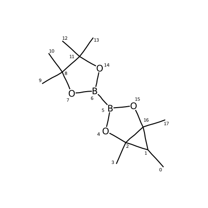 CC1C2(C)OB(B3OC(C)(C)C(C)(C)O3)OC12C